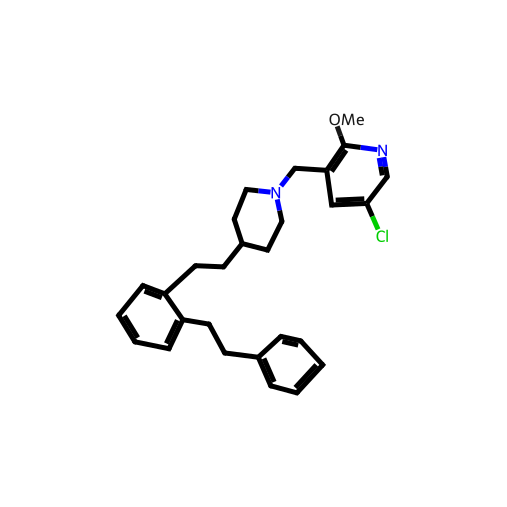 COc1ncc(Cl)cc1CN1CCC(CCc2ccccc2CCc2ccccc2)CC1